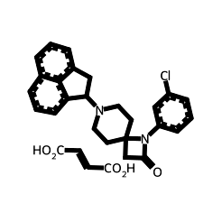 O=C(O)C=CC(=O)O.O=C1CC2(CCN(C3Cc4cccc5cccc3c45)CC2)N1c1cccc(Cl)c1